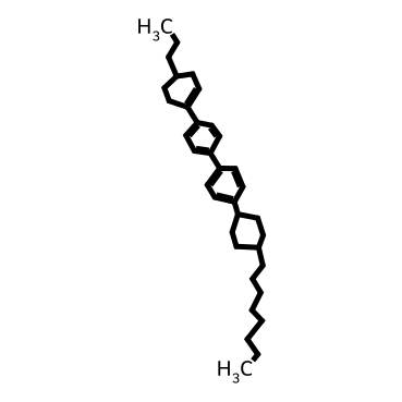 CCCCCCCCC1CCC(c2ccc(-c3ccc(C4=CCC(CCC)CC4)cc3)cc2)CC1